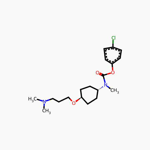 CN(C)CCCO[C@H]1CC[C@H](N(C)C(=O)Oc2ccc(Cl)cc2)CC1